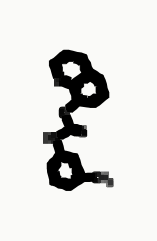 Cc1cccc(NC(=S)Oc2cccc3cccnc23)c1